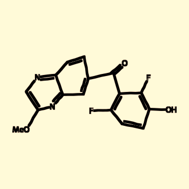 COc1cnc2ccc(C(=O)c3c(F)ccc(O)c3F)cc2n1